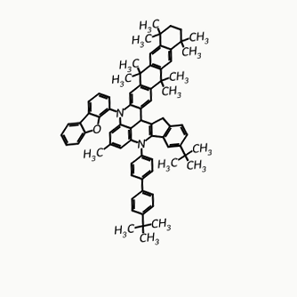 Cc1cc2c3c(c1)N(c1cccc4c1oc1ccccc14)c1cc4c(cc1C3C1=C(c3cc(C(C)(C)C)ccc3C1)N2c1ccc(-c2ccc(C(C)(C)C)cc2)cc1)C(C)(C)c1cc2c(cc1C4(C)C)C(C)(C)CCC2(C)C